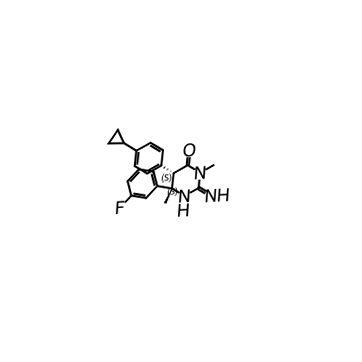 CN1C(=N)N[C@](C)(c2cccc(F)c2)[C@H](c2ccc(C3CC3)cc2)C1=O